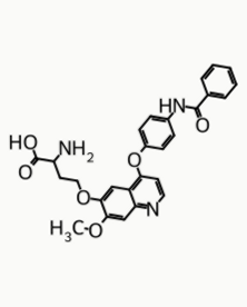 COc1cc2nccc(Oc3ccc(NC(=O)c4ccccc4)cc3)c2cc1OCCC(N)C(=O)O